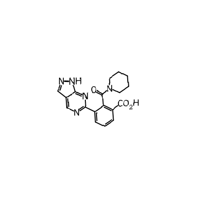 O=C(O)c1cccc(-c2ncc3cn[nH]c3n2)c1C(=O)N1CCCCC1